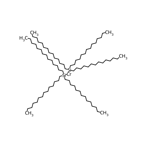 CCCCCCCCCCCCCC[Si](CCCCCCCCCCCCCC)(CCCCCCCCCCCCCC)[Cr][Si](CCCCCCCCCCCCCC)(CCCCCCCCCCCCCC)CCCCCCCCCCCCCC